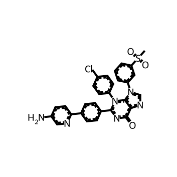 CS(=O)(=O)c1cccc(-n2cnc3c(=O)nc(-c4ccc(-c5ccc(N)cn5)cc4)n(-c4ccc(Cl)cc4)c32)c1